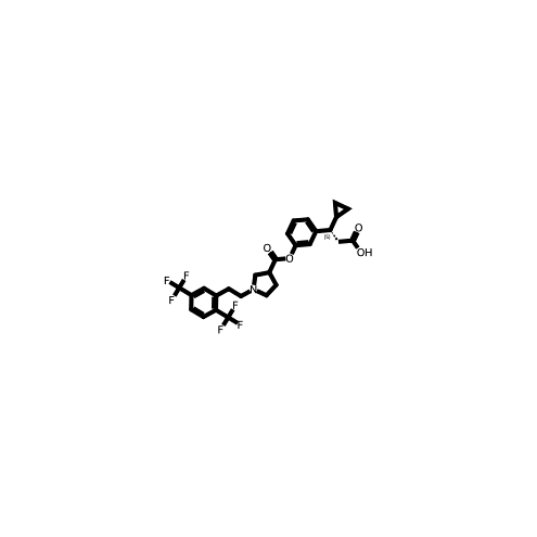 O=C(O)C[C@H](c1cccc(OC(=O)C2CCN(CCc3cc(C(F)(F)F)ccc3C(F)(F)F)C2)c1)C1CC1